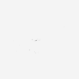 COc1ccc(CN[C@@H]2CCC3(C[C@H]2N)OCCO3)cc1